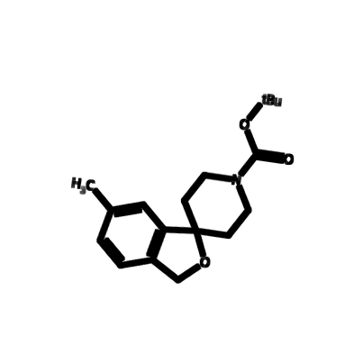 Cc1ccc2c(c1)C1(CCN(C(=O)OC(C)(C)C)CC1)OC2